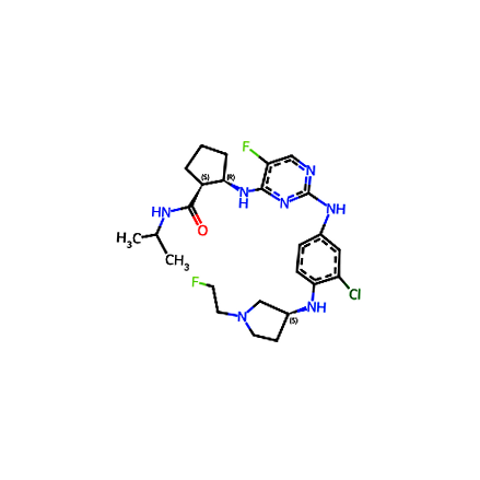 CC(C)NC(=O)[C@H]1CCC[C@H]1Nc1nc(Nc2ccc(N[C@H]3CCN(CCF)C3)c(Cl)c2)ncc1F